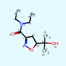 CC(C)CN(CC(C)C)C(=O)C1=NOC(C(O)(C(F)(F)F)C(F)(F)F)C1